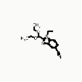 CCOC(OCC)c1nc2cc(C#N)ccc2n1CI